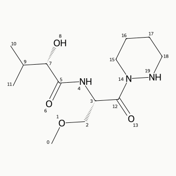 COC[C@H](NC(=O)[C@@H](O)C(C)C)C(=O)N1CCCCN1